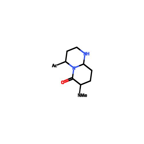 CNC1CCC2NCCC(C(C)=O)N2C1=O